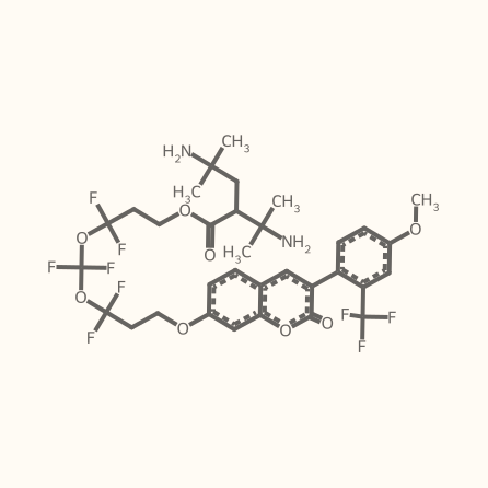 COc1ccc(-c2cc3ccc(OCCC(F)(F)OC(F)(F)OC(F)(F)CCOC(=O)C(CC(C)(C)N)C(C)(C)N)cc3oc2=O)c(C(F)(F)F)c1